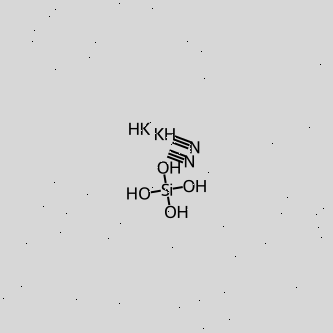 C#N.C#N.O[Si](O)(O)O.[KH].[KH]